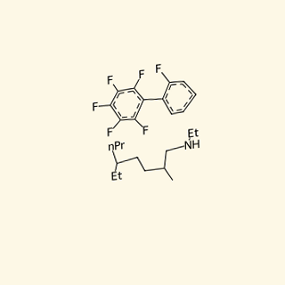 CCCC(CC)CCC(C)CNCC.Fc1ccccc1-c1c(F)c(F)c(F)c(F)c1F